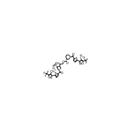 Cc1c(-c2ccc(C(=O)N3CCC[C@@H](C(=O)OCCC4CN(C(=O)c5ccc(-c6noc(C(F)(F)F)c6C)s5)C[C@@H]4N(C)C)C3)s2)noc1C(F)(F)F